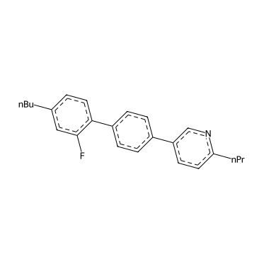 CCCCc1ccc(-c2ccc(-c3ccc(CCC)nc3)cc2)c(F)c1